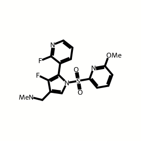 CNCc1cn(S(=O)(=O)c2cccc(OC)n2)c(-c2cccnc2F)c1F